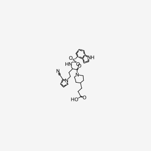 N#Cc1cccn1CCC(NS(=O)(=O)c1cccc2[nH]ccc12)C(=O)N1CCC(CCC(=O)O)CC1